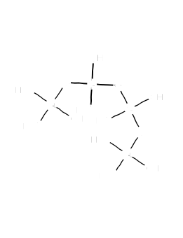 C[Si](C)(C)O[Si](C)(C)O[Si](C)(O)O[Si](C)(C)C